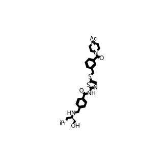 CC(=O)N1CCN(C(=O)c2cccc(CSc3cnc(NC(=O)c4ccc(CN[C@@H](CO)CC(C)C)cc4)s3)c2)CC1